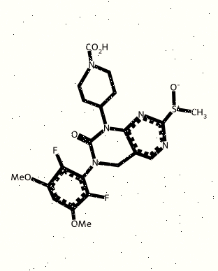 COc1cc(OC)c(F)c(N2Cc3cnc([S+](C)[O-])nc3N(C3CCN(C(=O)O)CC3)C2=O)c1F